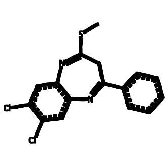 CSC1=Nc2cc(Cl)c(Cl)cc2N=C(c2ccccc2)C1